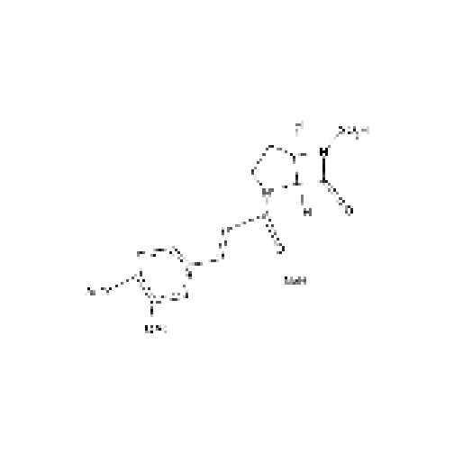 CC(=O)Oc1ccc(/C=C/C(=O)N2CC[C@@H]3[C@H]2C(=O)N3S(=O)(=O)O)cc1OC(C)=O.[NaH]